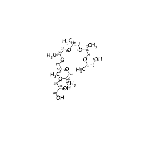 CC(CO)OCC(C)OCC(C)OCC(C)OCC(C)OCC(C)OCC(O)CO